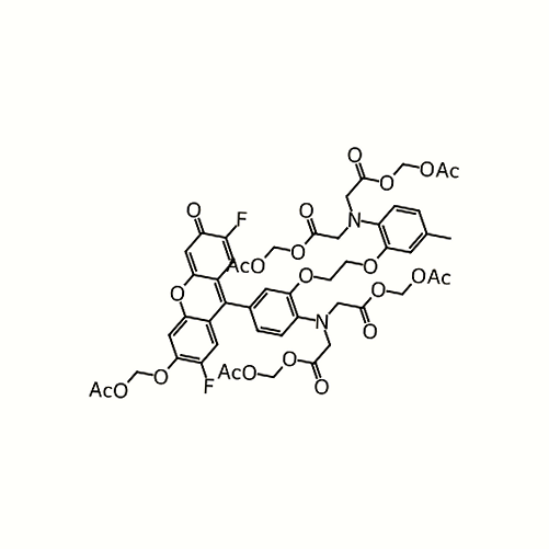 CC(=O)OCOC(=O)CN(CC(=O)OCOC(C)=O)c1ccc(C)cc1OCCOc1cc(-c2c3cc(F)c(=O)cc-3oc3cc(OCOC(C)=O)c(F)cc23)ccc1N(CC(=O)OCOC(C)=O)CC(=O)OCOC(C)=O